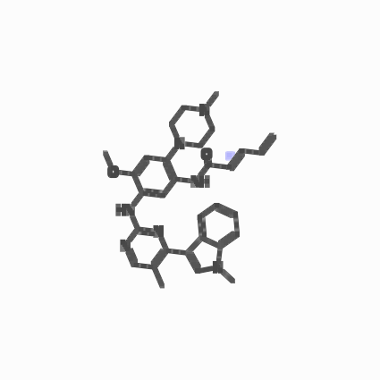 C=C/C=C/C(=O)Nc1cc(Nc2ncc(C)c(-c3cn(C)c4ccccc34)n2)c(OC)cc1N1CCN(C)CC1